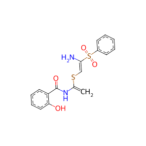 C=C(NC(=O)c1ccccc1O)S/C=C(\N)S(=O)(=O)c1ccccc1